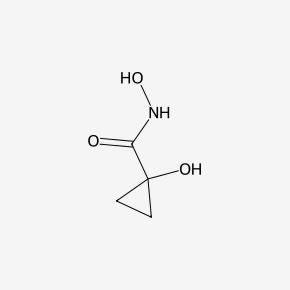 O=C(NO)C1(O)CC1